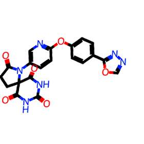 O=C1NC(=O)C2(CCC(=O)N2c2ccc(Oc3ccc(-c4nnco4)cc3)nc2)C(=O)N1